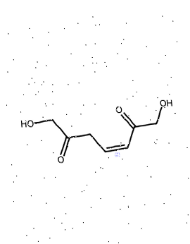 O=C(/C=C\CC(=O)CO)CO